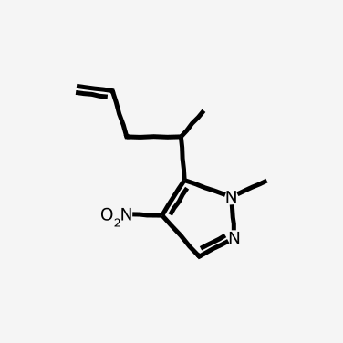 C=CCC(C)c1c([N+](=O)[O-])cnn1C